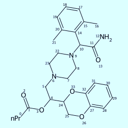 CCCC(=O)OC(CN1CCN(C(C(N)=O)c2c(C)cccc2C)CC1)C1COc2ccccc2O1